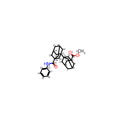 COC(=O)C12CC3CC(C1)CC(C14CC5CC(CC(C(=O)Nc6ccccc6)(C5)C1)C4)(C3)C2